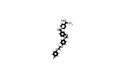 CC(O)C1CCN(C(=O)c2ccc3c(c2)ncn3-c2ccc(OCCOc3ccc(F)cc3)cc2)CC1